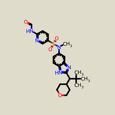 CN(c1ccc2[nH]c(C(C3CCOCC3)C(C)(C)C)nc2c1)S(=O)(=O)c1ccc(NC=O)nc1